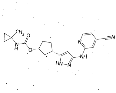 CC1(NC(=O)O[C@@H]2CC[C@H](c3cc(Nc4cc(C#N)ccn4)n[nH]3)C2)CC1